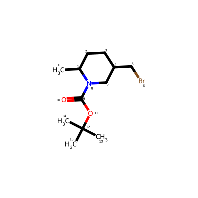 CC1CCC(CBr)CN1C(=O)OC(C)(C)C